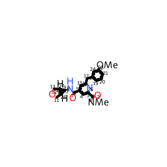 CNC(=O)c1cc(C(=O)N[C@H]2[C@@H]3COC[C@@H]32)cc(Cc2cccc(OC)c2)n1